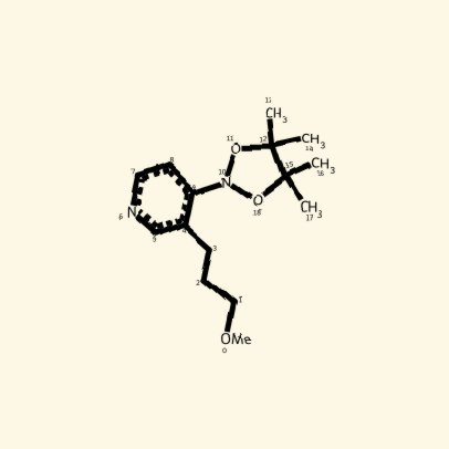 COCCCc1cnccc1N1OC(C)(C)C(C)(C)O1